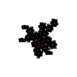 CC(C)(C)c1cc(-c2cccc3oc4ccccc4c23)c(-c2ccc3c(c2)N(c2c(-c4ccccc4)cccc2-c2ccccc2)c2cc(-n4c5ccc(C(C)(C)C)cc5c5cc(C(C)(C)C)ccc54)cc4c2B3c2ccc(-c3ccc(-c5ccccc5)cc3-c3ccccc3)cc2O4)c(-n2c3ccccc3c3ccccc32)c1